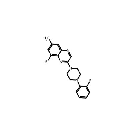 Cc1cc(Br)c2nc(N3CCN(c4ccccc4F)CC3)cnc2c1